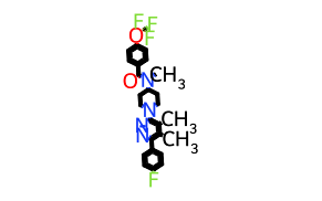 Cc1c(-c2ccc(F)cc2)nnc(N2CCC(N(C)C(=O)c3ccc(OC(F)(F)F)cc3)CC2)c1C